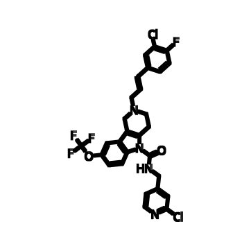 O=C(NCc1ccnc(Cl)c1)n1c2c(c3cc(OC(F)(F)F)ccc31)CN(CC=Cc1ccc(F)c(Cl)c1)CC2